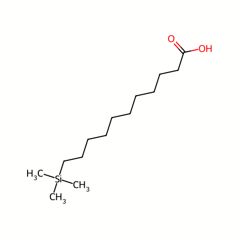 C[Si](C)(C)CCCCCCCCCCC(=O)O